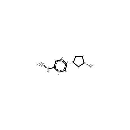 O=C(O)Nc1cnc([C@@H]2CC[C@H](O)C2)cn1